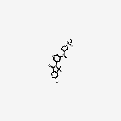 CCS(=O)(=O)N1CC[C@H](N(C)c2cncc(N3C(=O)c4ccc(Cl)cc4C3(C)C)c2)C1